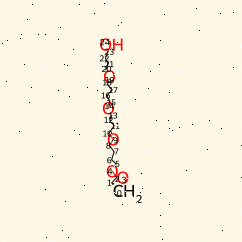 C=CC(=O)OCCCCOCCCCOCCCCOCCCCO